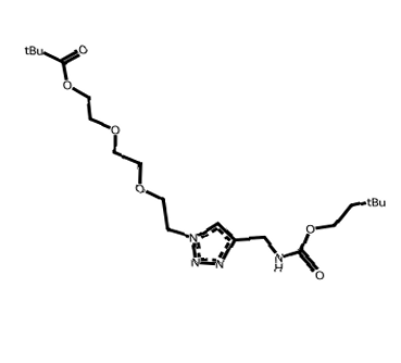 CC(C)(C)CCOC(=O)NCc1cn(CCOCCOCCOC(=O)C(C)(C)C)nn1